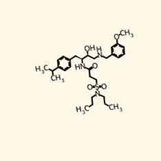 CCCN(CCC)S(=O)(=O)CCC(=O)N[C@@H](Cc1ccc(C(C)C)cc1)[C@@H](O)CNCc1cccc(OC)c1